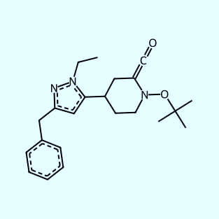 CCn1nc(Cc2ccccc2)cc1C1CCN(OC(C)(C)C)C(=C=O)C1